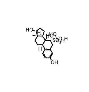 C[C@]12CC[C@@H]3c4ccc(O)cc4CC[C@H]3[C@@H]1CC[C@@H]2O.O=S(=O)(O)O.O=S(=O)(O)O